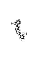 O=C(C=Cc1ccccc1O)CC(=O)C=Cc1ccccc1O